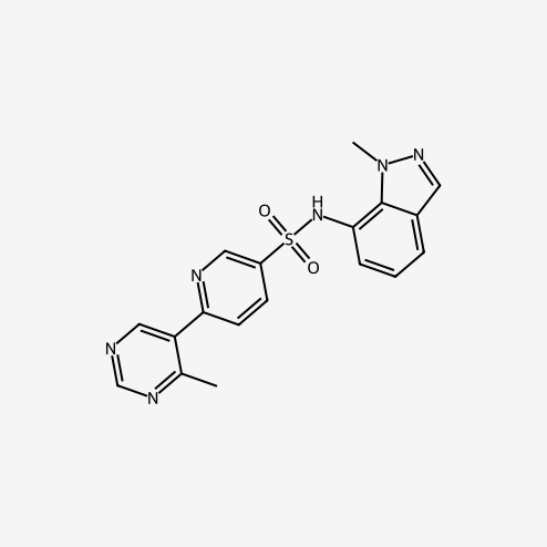 Cc1ncncc1-c1ccc(S(=O)(=O)Nc2cccc3cnn(C)c23)cn1